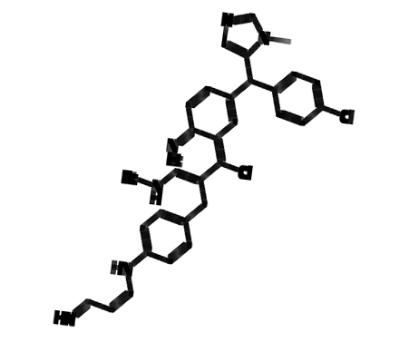 CC/N=C1/C=CC(C(c2ccc(Cl)cc2)c2cncn2C)=C/C1=C(Cl)/C(=C/NCC)Cc1ccc(N/C=C\C=N)cc1